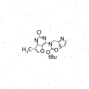 Cc1coc2c(N(Cc3nccs3)C(=O)OC(C)(C)C)nc(Cl)nc12